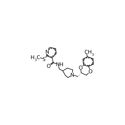 CSc1ncccc1C(=O)NCC1CCN(C[C@H]2COc3ccc(C)cc3O2)CC1